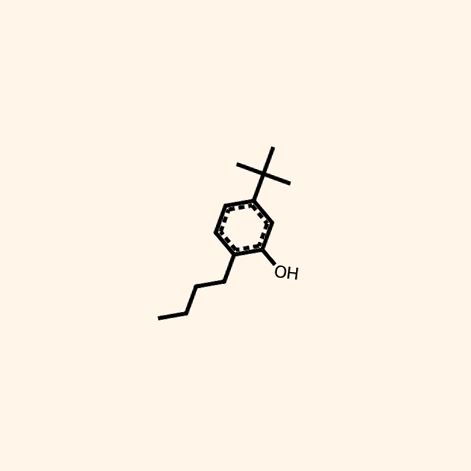 CCCCc1ccc(C(C)(C)C)cc1O